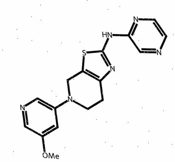 COc1cncc(N2CCc3nc(Nc4cnccn4)sc3C2)c1